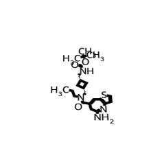 CCCN(C[C@H]1C[C@@H](CNC(=O)OC(C)(C)C)C1)C(=O)C1=Cc2sccc2N=C(N)C1